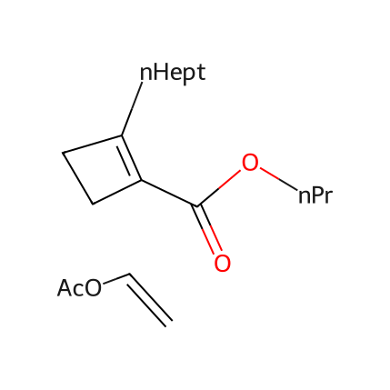 C=COC(C)=O.CCCCCCCC1=C(C(=O)OCCC)CC1